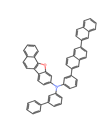 c1ccc(-c2cccc(N(c3cccc(-c4ccc5cc(-c6ccc7ccccc7c6)ccc5c4)c3)c3ccc4c(c3)oc3c5ccccc5ccc43)c2)cc1